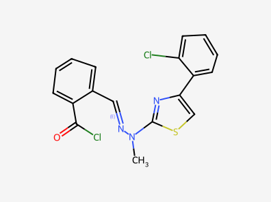 CN(/N=C/c1ccccc1C(=O)Cl)c1nc(-c2ccccc2Cl)cs1